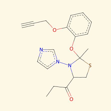 C#CCOc1ccccc1OC1(C)SCC(C(=O)CC)N1n1ccnc1